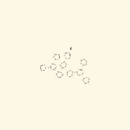 N#Cc1ccc(-c2ccc(-c3ccccc3-c3nc(-c4ccccc4)nc(-c4ccccc4)n3)c(-c3cccc(-c4nc(-c5ccccc5)nc(-c5ccccc5)n4)c3)c2)cc1